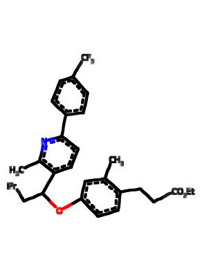 CCOC(=O)CCc1ccc(OC(CC(C)C)c2ccc(-c3ccc(C(F)(F)F)cc3)nc2C)cc1C